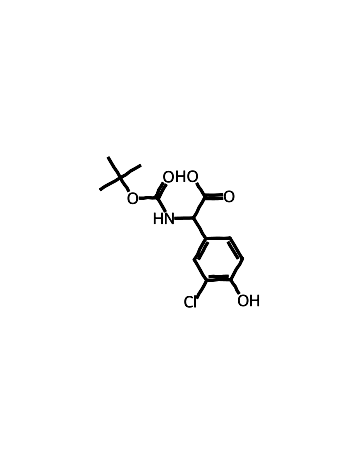 CC(C)(C)OC(=O)NC(C(=O)O)c1ccc(O)c(Cl)c1